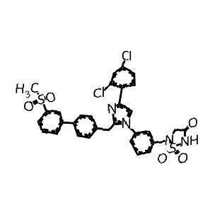 CS(=O)(=O)c1cccc(-c2ccc(Cc3nc(-c4ccc(Cl)cc4Cl)cn3-c3cccc(N4CC(=O)NS4(=O)=O)c3)cc2)c1